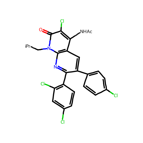 [CH2]C(=O)Nc1c(Cl)c(=O)n(CC(C)C)c2nc(-c3ccc(Cl)cc3Cl)c(-c3ccc(Cl)cc3)cc12